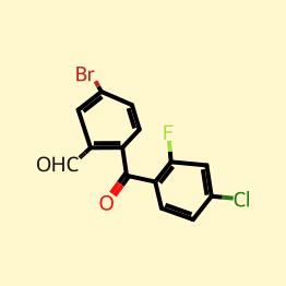 O=Cc1cc(Br)ccc1C(=O)c1ccc(Cl)cc1F